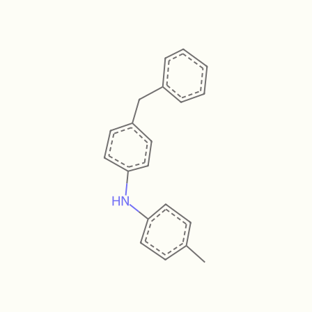 Cc1ccc(Nc2ccc(Cc3ccccc3)cc2)cc1